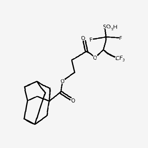 O=C(CCOC(=O)C12CC3CC(CC(C3)C1)C2)OC(C(F)(F)F)C(F)(F)S(=O)(=O)O